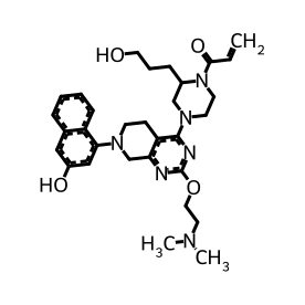 C=CC(=O)N1CCN(c2nc(OCCN(C)C)nc3c2CCN(c2cc(O)cc4ccccc24)C3)CC1CCCO